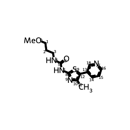 COCCCNC(=O)Nc1nc(C)c(-c2cccnc2)s1